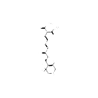 COC(=O)C(/C=C/C=C/C(=O)/C=C/C1=C(C)CCCC1(C)C)C(=O)OC